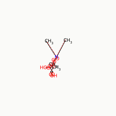 CCCCCCCCCCCCCCCCCCN(CCCCCCCCCCCCCCCCCC)C(=O)CCC(=O)OCCOC(=O)C(CC)CC(CC(CCC)c1ccc(S(=O)(=O)O)cc1)C(=O)OCCO